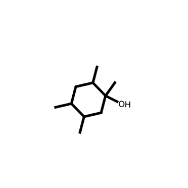 CC1CC(C)C(C)(O)CC1C